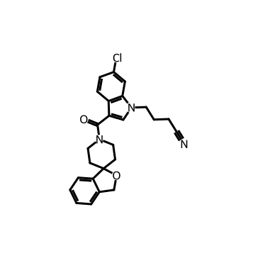 N#CCCCn1cc(C(=O)N2CCC3(CC2)OCc2ccccc23)c2ccc(Cl)cc21